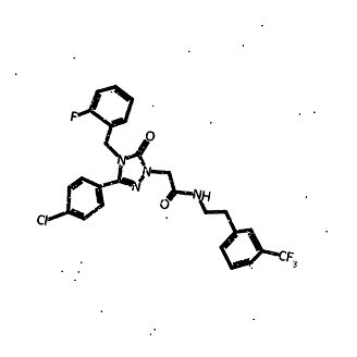 O=C(Cn1nc(-c2ccc(Cl)cc2)n(Cc2ccccc2F)c1=O)NCCc1cccc(C(F)(F)F)c1